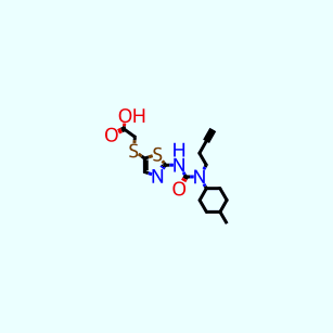 C#CCCN(C(=O)Nc1ncc(SCC(=O)O)s1)C1CCC(C)CC1